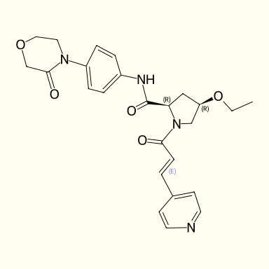 CCO[C@@H]1C[C@H](C(=O)Nc2ccc(N3CCOCC3=O)cc2)N(C(=O)/C=C/c2ccncc2)C1